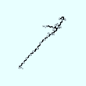 COCCOCCOCCOCCOCCOCCOCCOCCOCC(=O)NCCCCC(NC(=O)CCCN1C(=O)C=CC1=O)C(=O)NCCCN